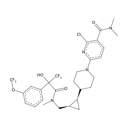 CN(C)C(=O)c1ccc(N2CCC([C@H]3C[C@H]3CN(C)C(=O)C(O)(c3cccc(OC(F)(F)F)c3)C(F)(F)F)CC2)nc1Cl